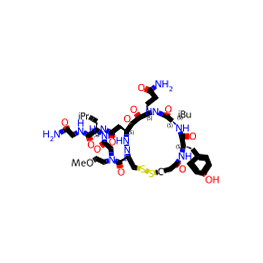 CC[C@H](C)[C@@H]1NC(=O)[C@H](Cc2ccc(O)cc2)NC(=O)CCSSC[C@@H](C(=O)N(CCOC)CC(=O)N[C@@H](CC(C)C)C(=O)NCC(N)=O)NN[C@@H](CC(N)=O)C(=O)C(=O)[C@H](CCC(N)=O)NC1=O